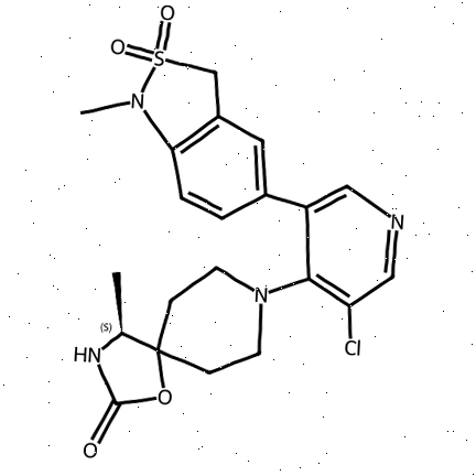 C[C@@H]1NC(=O)OC12CCN(c1c(Cl)cncc1-c1ccc3c(c1)CS(=O)(=O)N3C)CC2